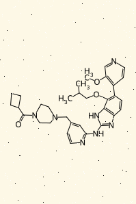 COc1cnccc1-c1ccc2nc(Nc3cc(CN4CCN(C(=O)C5CCC5)CC4)ccn3)[nH]c2c1OCC(C)C